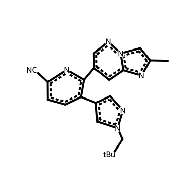 Cc1cn2ncc(-c3nc(C#N)ccc3-c3cnn(CC(C)(C)C)c3)cc2n1